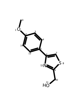 COc1ccc(-c2csc(CO)n2)cc1